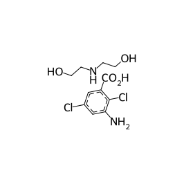 Nc1cc(Cl)cc(C(=O)O)c1Cl.OCCNCCO